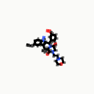 COc1ccc2[nH]c3c(c2c1)CC1(C)C(=O)N(CCN2CCOCC2)CC(=O)N1C3c1cccc(O)c1